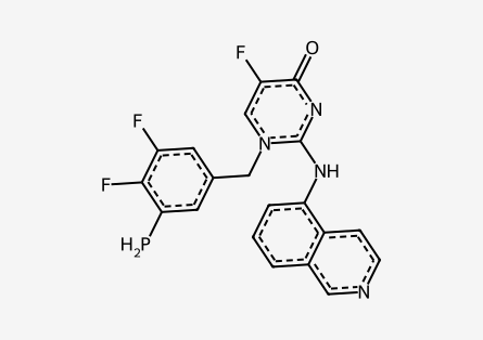 O=c1nc(Nc2cccc3cnccc23)n(Cc2cc(F)c(F)c(P)c2)cc1F